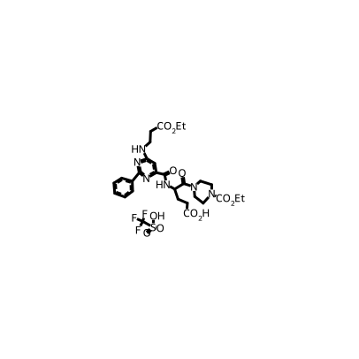 CCOC(=O)CCNc1cc(C(=O)NC(CCC(=O)O)C(=O)N2CCN(C(=O)OCC)CC2)nc(-c2ccccc2)n1.O=S(=O)(O)C(F)(F)F